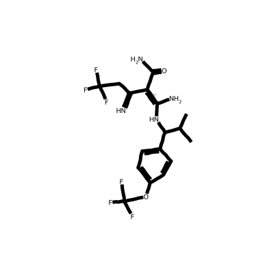 CC(C)C(N/C(N)=C(\C(=N)CC(F)(F)F)C(N)=O)c1ccc(OC(F)(F)F)cc1